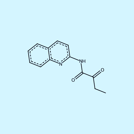 CCC(=O)C(=O)Nc1ccc2ccccc2n1